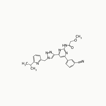 COCC(=O)Nc1nc(-c2cccc(C#N)c2)cc(-c2cn(Cc3cccc(C(C)C)n3)nn2)n1